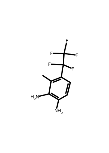 Cc1c(C(F)(F)C(F)(F)F)ccc(N)c1N